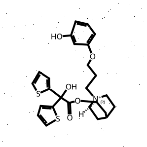 O=C(O[C@@H]1CC2CC[N+]1(CCCOc1cccc(O)c1)CC2)C(O)(c1cccs1)c1cccs1